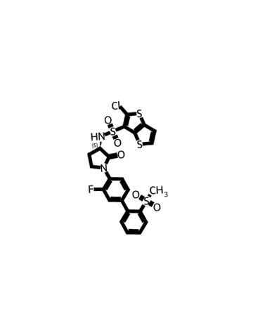 CS(=O)(=O)c1ccccc1-c1ccc(N2CC[C@H](NS(=O)(=O)c3c(Cl)sc4ccsc34)C2=O)c(F)c1